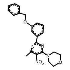 Cc1nc(-c2cccc(OCc3ccccc3)c2)nc(N2CCOCC2)c1[N+](=O)[O-]